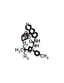 Cc1ccc(-n2nc(C(C)(C)C)cc2NC(=O)Nc2cccc(CC3CC4CCC(C3)N4S(=O)(=O)c3cccc4cnccc34)c2)cc1